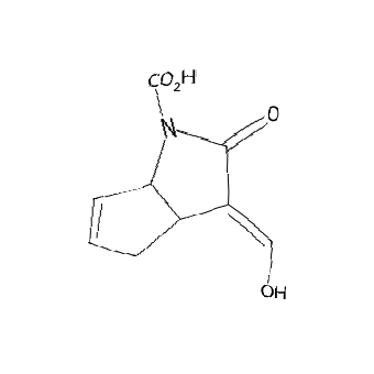 O=C(O)N1C(=O)C(=CO)C2CC=CC21